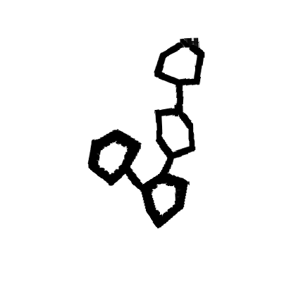 [c]1cccc(-c2ccccc2)c1C1CCN(C2CCNCC2)CC1